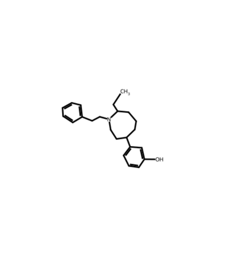 CCC1CCCC(c2cccc(O)c2)CCN1CCc1ccccc1